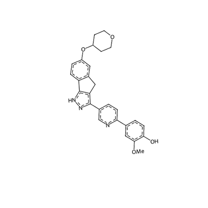 COc1cc(-c2ccc(-c3n[nH]c4c3Cc3cc(OC5CCOCC5)ccc3-4)cn2)ccc1O